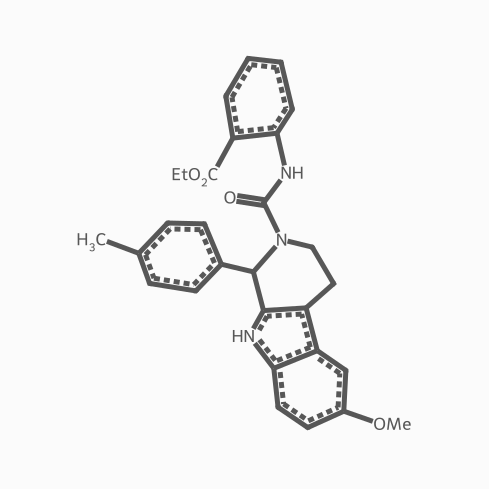 CCOC(=O)c1ccccc1NC(=O)N1CCc2c([nH]c3ccc(OC)cc23)C1c1ccc(C)cc1